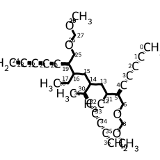 C=C=C=C=C=C(COCOC)C(C)CC(CC(CC)C(=C=C=C=C=C)COCOC)C(C)=C=C=C=C=C